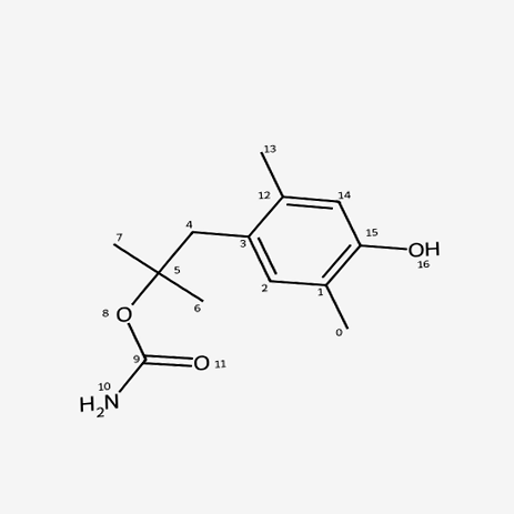 Cc1cc(CC(C)(C)OC(N)=O)c(C)cc1O